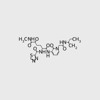 C=C(CC)NC(=O)Cn1cccc(NC(=O)C(CCC(=O)C(=O)NC)NC(=O)c2nncs2)c1=O